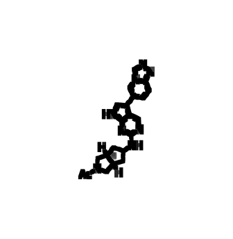 CC(=O)N1C[C@H]2CC(Nc3ncc4c(-c5ccc6nncn6c5)c[nH]c4n3)C[C@H]2C1